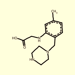 Cc1ccc(CN2CCNCC2)c(NCC(=O)O)c1